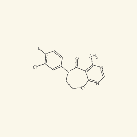 Nc1ncnc2c1C(=O)N(c1ccc(I)c(Cl)c1)CCO2